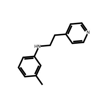 Cc1cccc(NCCc2ccncc2)c1